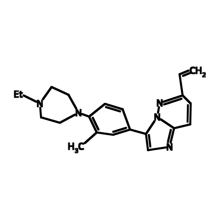 C=Cc1ccc2ncc(-c3ccc(N4CCN(CC)CC4)c(C)c3)n2n1